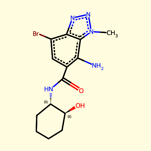 Cn1nnc2c(Br)cc(C(=O)N[C@H]3CCCC[C@@H]3O)c(N)c21